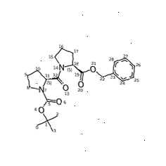 CC(C)(C)OC(=O)N1CCC[C@H]1C(=O)N1CCC[C@H]1C(=O)OCc1ccccc1